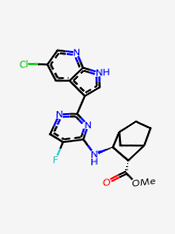 COC(=O)[C@H]1C2CCC(C2)[C@@H]1Nc1nc(-c2c[nH]c3ncc(Cl)cc23)ncc1F